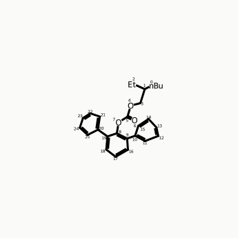 CCCCC(CC)COC(=O)Oc1c(-c2ccccc2)cccc1-c1ccccc1